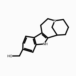 OCc1ccc2c3c([nH]c2c1)C1CCCN(CC3)C1